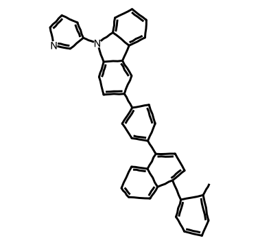 Cc1ccccc1-c1ccc(-c2ccc(-c3ccc4c(c3)c3ccccc3n4-c3cccnc3)cc2)c2ccccc12